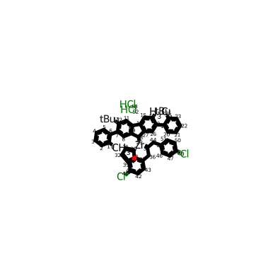 Cc1ccccc1-c1cc2c(cc1C(C)(C)C)-c1cc(C(C)(C)C)c(-c3ccccc3C)cc1[CH]2[Zr]([C]1=CC=CC1)=[C](Cc1ccc(Cl)cc1)Cc1ccc(Cl)cc1.Cl.Cl